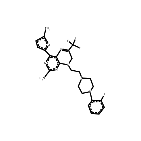 Cc1ccc(-c2nc(N)nc3c2N=C(C(F)(F)F)CN3CCN2CCN(c3ccccc3F)CC2)o1